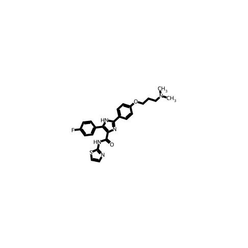 CN(C)CCCOc1ccc(-c2nc(C(=O)Nc3nccs3)c(-c3ccc(F)cc3)[nH]2)cc1